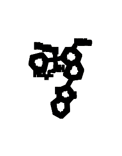 CNc1cc(C(N=[N+]=[N-])(NC(=O)O)c2ccccc2)c2cc(-c3nc4ccccc4s3)ccc2c1